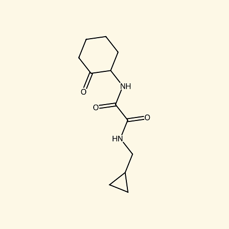 O=C(NCC1CC1)C(=O)NC1CCCCC1=O